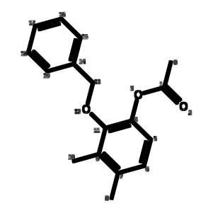 CC(=O)Oc1ccc(C)c(C)c1OCc1ccccc1